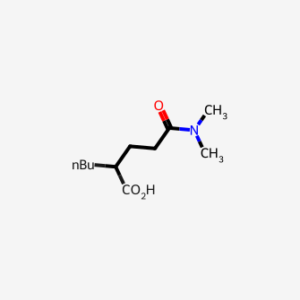 CCCCC(CCC(=O)N(C)C)C(=O)O